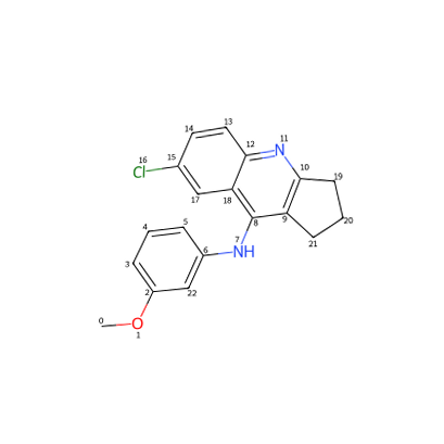 COc1cccc(Nc2c3c(nc4ccc(Cl)cc24)CCC3)c1